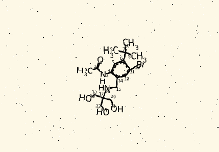 CC(=O)Nc1cc(C(C)(C)C)c(Br)cc1CNC(CO)(CO)CO